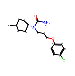 C[C@H]1CC[C@H](N(CCCOc2ccc(Cl)cc2)C(N)=O)CC1